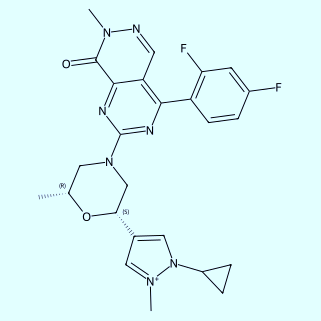 C[C@@H]1CN(c2nc(-c3ccc(F)cc3F)c3cnn(C)c(=O)c3n2)C[C@H](c2cn(C3CC3)[n+](C)c2)O1